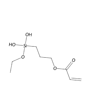 C=CC(=O)OCCC[Si](O)(O)OCC